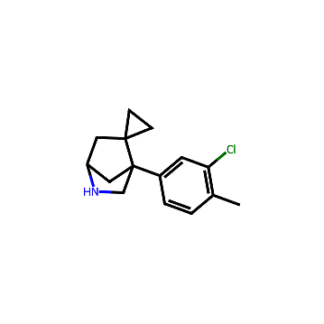 Cc1ccc(C23CNC(CC24CC4)C3)cc1Cl